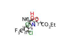 CCOC(=O)CCC(=O)c1nc(Cc2c(Cl)cc(C(F)(F)F)cc2Cl)cc(C#N)c1O